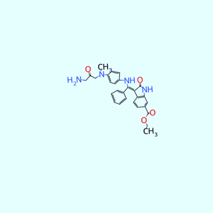 CCOC(=O)c1ccc2c(c1)NC(=O)/C2=C(\Nc1ccc(N(C)CC(=O)CN)cc1)c1ccccc1